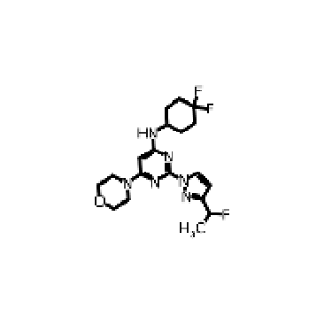 CC(F)c1ccn(-c2nc(NC3CCC(F)(F)CC3)cc(N3CCOCC3)n2)n1